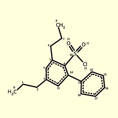 CCCc1cc(CCC)c(S(=O)(=O)Cl)c(-c2ccccc2)c1